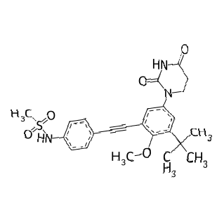 COc1c(C#Cc2ccc(NS(C)(=O)=O)cc2)cc(N2CCC(=O)NC2=O)cc1C(C)(C)C